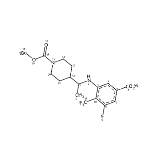 CC(Nc1cc(C(=O)O)cc(F)c1C(F)(F)F)C1CCN(C(=O)OC(C)(C)C)CC1